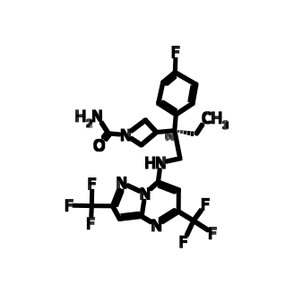 CC[C@@](CNc1cc(C(F)(F)F)nc2cc(C(F)(F)F)nn12)(c1ccc(F)cc1)C1CN(C(N)=O)C1